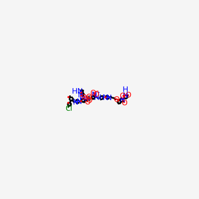 CC1(C)CCC(CN2CCN(c3ccc(C(=O)NS(=O)(=O)c4ccc(NC[C@H]5CC[C@H](N6CCN(CCCCOc7cccc8c7CN(C7CCC(=O)NC7=O)C8=O)CC6)CC5)c([N+](=O)[O-])c4)c(Oc4cnc5[nH]ccc5c4)c3)CC2)=C(c2ccc(Cl)cc2)C1